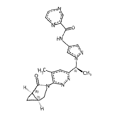 Cc1cc([C@H](C)n2cc(NC(=O)c3cnccn3)cn2)nnc1N1C[C@H]2C[C@H]2C1=O